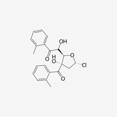 Cc1ccccc1C(=O)C(O)[C@H]1O[C@H](Cl)C[C@@]1(O)C(=O)c1ccccc1C